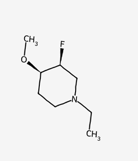 CCN1CC[C@@H](OC)[C@@H](F)C1